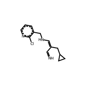 N=C/C(=C\NCc1cccnc1Cl)CC1CC1